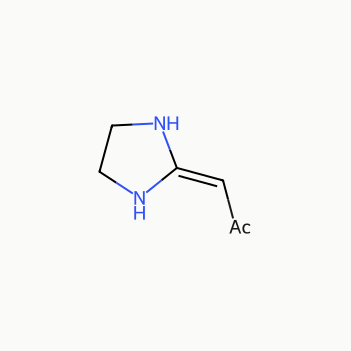 CC(=O)C=C1NCCN1